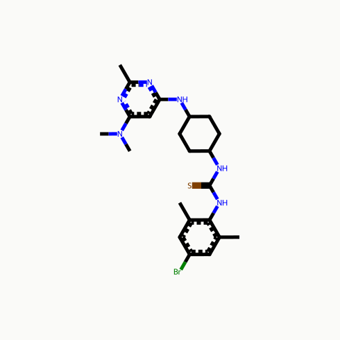 Cc1nc(NC2CCC(NC(=S)Nc3c(C)cc(Br)cc3C)CC2)cc(N(C)C)n1